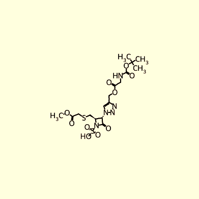 COC(=O)CSC[C@H]1[C@H](n2cc(COC(=O)CNC(=O)OC(C)(C)C)nn2)C(=O)N1S(=O)(=O)O